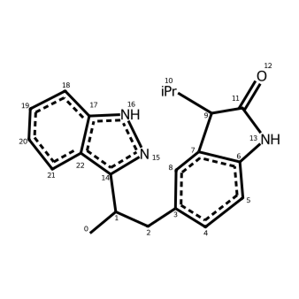 CC(Cc1ccc2c(c1)C(C(C)C)C(=O)N2)c1n[nH]c2ccccc12